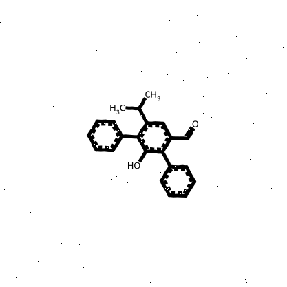 CC(C)c1cc(C=O)c(-c2ccccc2)c(O)c1-c1ccccc1